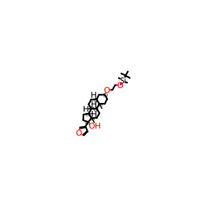 CC(C)(C)[Si](C)(C)OCCO[C@H]1CC[C@@]2(C)[C@@H](CC[C@@H]3[C@@H]2CC[C@@]2(C)[C@H]3CC[C@@]2(O)c2ccoc2)C1